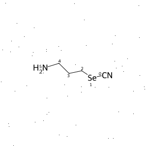 N#C[Se]CCCN